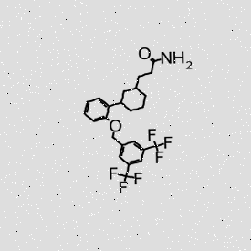 NC(=O)CCC1CCCC(c2ccccc2OCc2cc(C(F)(F)F)cc(C(F)(F)F)c2)C1